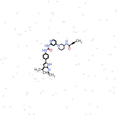 C=C/N=C1/NC(c2ccc(NC(=O)Nc3cc(N4CCCC(NC(=O)C#CC)C4)ccn3)cc2)=CC1=C(C)C